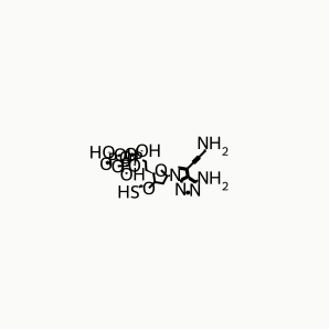 NCC#Cc1cn([C@H]2CC(OCS)[C@@H](CCP(=O)(O)OP(=O)(O)OP(=O)(O)O)O2)c2ncnc(N)c12